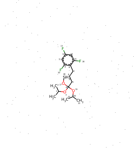 CC(C)OC(CCCc1c(F)cc(F)cc1F)(O[SiH3])OC(C)C